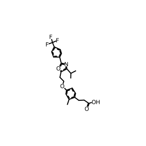 Cc1cc(OCCc2oc(-c3ccc(C(F)(F)F)cc3)nc2C(C)C)ccc1CCC(=O)O